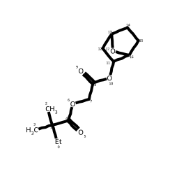 CCC(C)(C)C(=O)OCC(=O)OC1CC2CCC1O2